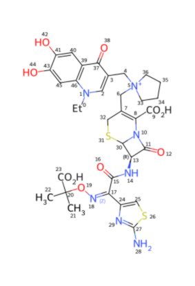 CCn1cc(C[N+]2(CC3=C(C(=O)O)N4C(=O)[C@@H](NC(=O)/C(=N\OC(C)(C)C(=O)O)c5csc(N)n5)C4SC3)CCCC2)c(=O)c2cc(O)c(O)cc21